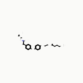 CCCCC(=O)OCCOc1ccc(Sc2ccc(C(=O)/C(C)=N/OC(C)=O)cc2)cc1